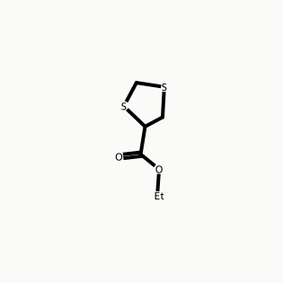 CCOC(=O)C1CSCS1